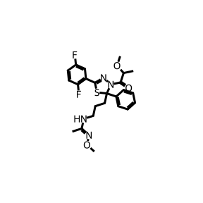 CON=C(C)NCCCC1(c2ccccc2)SC(c2cc(F)ccc2F)=NN1C(=O)C(C)OC